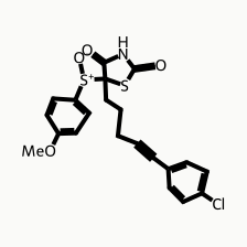 COc1ccc([S+]([O-])C2(CCCC#Cc3ccc(Cl)cc3)SC(=O)NC2=O)cc1